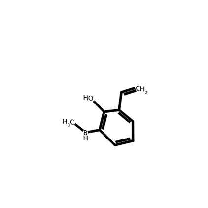 C=Cc1cccc(BC)c1O